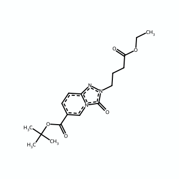 CCOC(=O)CCCn1nc2ccc(C(=O)OC(C)(C)C)cn2c1=O